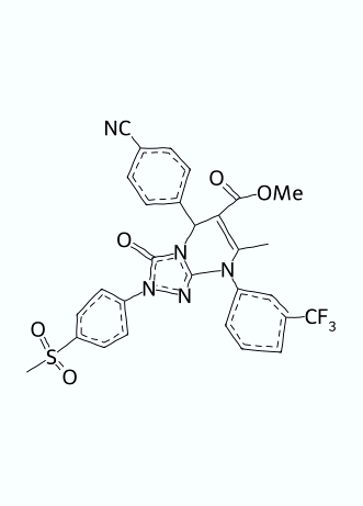 COC(=O)C1=C(C)N(c2cccc(C(F)(F)F)c2)c2nn(-c3ccc(S(C)(=O)=O)cc3)c(=O)n2C1c1ccc(C#N)cc1